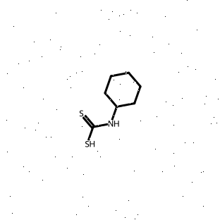 S=C(S)NC1CCCCC1